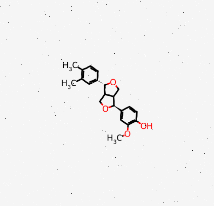 COc1cc([C@H]2OCC3C2CO[C@H]3c2ccc(C)c(C)c2)ccc1O